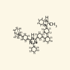 CC1Nc2ccccc2N1c1ccc(-c2ccccc2-c2cccc(C3N=C(c4ccccc4)N=C(c4ccc(C5C6CC7CC(C6)CC5C7)cc4)N3)c2)cc1